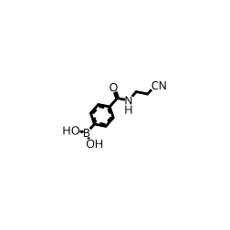 N#CCCNC(=O)c1ccc(B(O)O)cc1